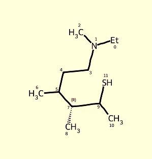 CCN(C)CCC(C)[C@@H](C)C(C)S